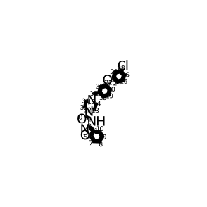 O=C(Nc1noc2ccccc12)N1CCN(Cc2cccc(Oc3cccc(Cl)c3)c2)CC1